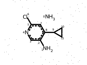 N.Nc1cnc(Cl)cc1C1CC1